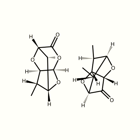 C[C@@H]1[C@@H]2O[C@@H]3C(=O)[C@H]1O[C@@H]3[C@H]2C.C[C@@H]1[C@@H]2O[C@@H]3OC(=O)[C@H]1O[C@@H]3[C@H]2C